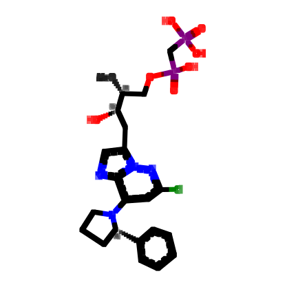 CO[C@H](COP(=O)(O)CP(=O)(O)O)[C@@H](O)Cc1cnc2c(N3CCC[C@H]3c3ccccc3)cc(Cl)nn12